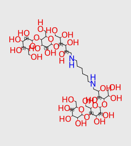 OCC(O)C(OC1OC(CO)[C@H](OC2OC(CO)[C@H](O)C(O)C2O)C(O)[C@H]1O)[C@H](O)C(O)CNCCCCCCNC[C@@H](O)C(O)[C@H](OC1OC(CO)C(OC2OC(CO)[C@@H](O)C(O)[C@@H]2O)C(O)[C@@H]1O)C(O)CO